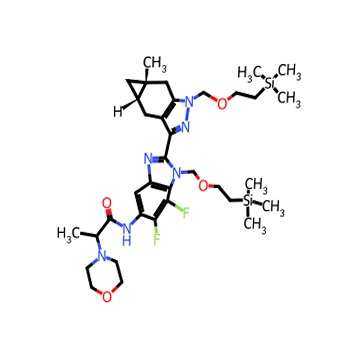 CC(C(=O)Nc1cc2nc(-c3nn(COCC[Si](C)(C)C)c4c3C[C@@H]3C[C@]3(C)C4)n(COCC[Si](C)(C)C)c2c(F)c1F)N1CCOCC1